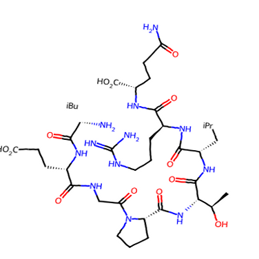 CC[C@H](C)[C@H](N)C(=O)N[C@@H](CCC(=O)O)C(=O)NCC(=O)N1CCC[C@H]1C(=O)N[C@H](C(=O)N[C@@H](CC(C)C)C(=O)N[C@@H](CCCNC(=N)N)C(=O)N[C@@H](CCC(N)=O)C(=O)O)[C@@H](C)O